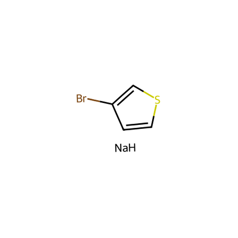 Brc1ccsc1.[NaH]